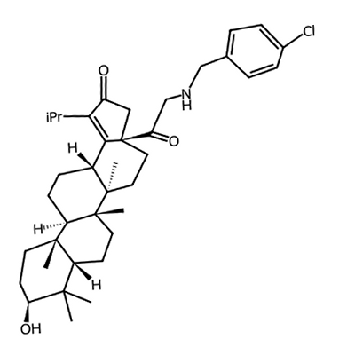 CC(C)C1=C2[C@H]3CC[C@@H]4[C@@]5(C)CC[C@H](O)C(C)(C)[C@H]5CC[C@@]4(C)[C@]3(C)CC[C@@]2(C(=O)CNCc2ccc(Cl)cc2)CC1=O